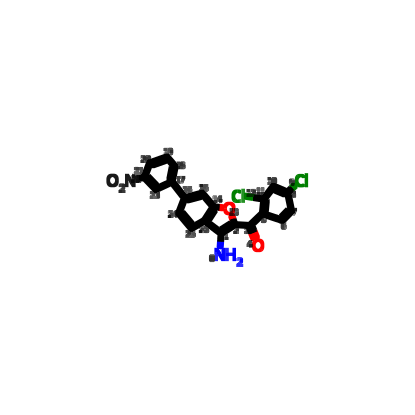 Nc1c(C(=O)c2ccc(Cl)cc2Cl)oc2cc(-c3cccc([N+](=O)[O-])c3)ccc12